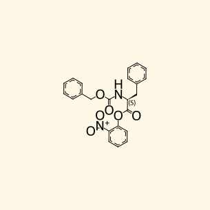 O=C(N[C@@H](Cc1ccccc1)C(=O)Oc1ccccc1[N+](=O)[O-])OCc1ccccc1